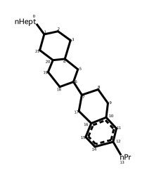 CCCCCCCC1CCC2CC(C3CCc4cc(CCC)ccc4C3)CCC2C1